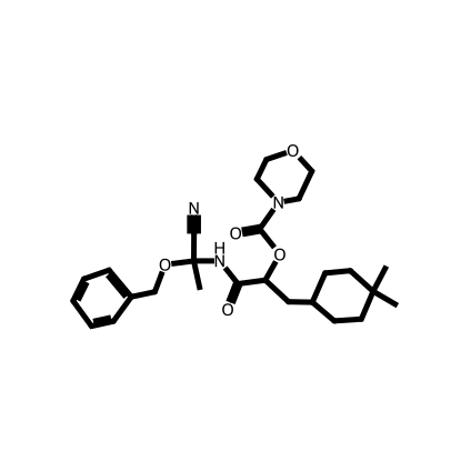 CC1(C)CCC(CC(OC(=O)N2CCOCC2)C(=O)NC(C)(C#N)OCc2ccccc2)CC1